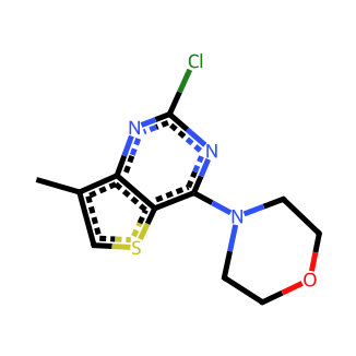 Cc1csc2c(N3CCOCC3)nc(Cl)nc12